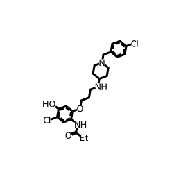 CCC(=O)Nc1cc(Cl)c(O)cc1OCCCNC1CCN(Cc2ccc(Cl)cc2)CC1